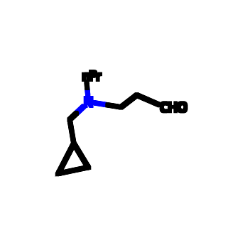 CCCN(CCC=O)CC1CC1